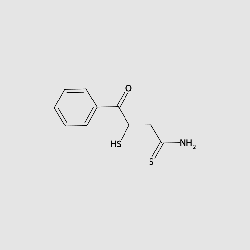 NC(=S)CC(S)C(=O)c1ccccc1